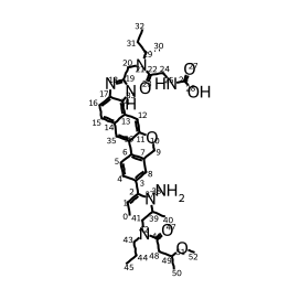 C/C=C(/c1ccc2c(c1)COc1cc3c(ccc4nc(CN(C(=O)CNC(=O)O)[C@@H](C)CC)[nH]c43)cc1-2)N(N)C(C)CN(CCC)C(=O)CC(C)OC